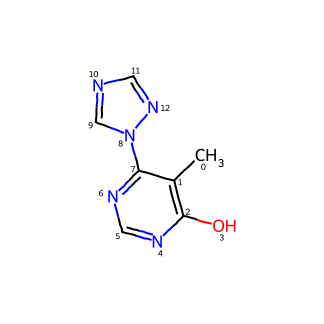 Cc1c(O)ncnc1-n1cncn1